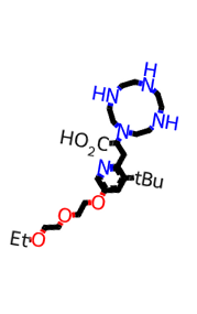 CCOCCOCCOc1cnc(CC(C(=O)O)N2CCNCCNCCNCC2)c(C(C)(C)C)c1